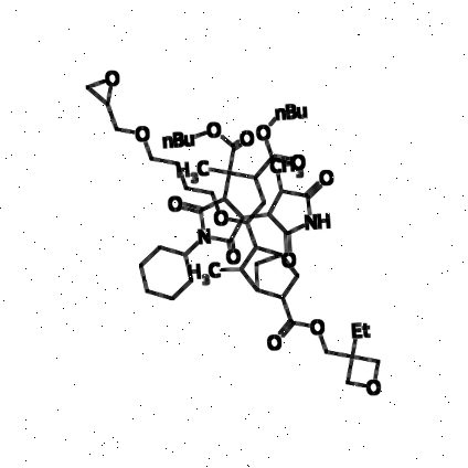 CCCCOC(=O)C(CC(OCCCCOCC1CO1)C1C2CC(C(=O)OCC3(CC)COC3)C(C2)C1C)C(C)(C(=O)OCCCC)C1C(=O)N(C2CCCCC2)C(=O)C1C1C(=O)NC(=O)C1C